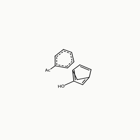 CC(=O)c1ccccc1.OC1=C2C=CC(=C1)C2